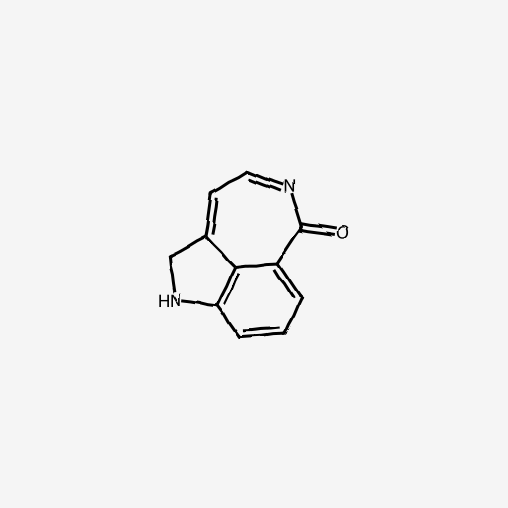 O=c1nccc2c3c(cccc13)NC2